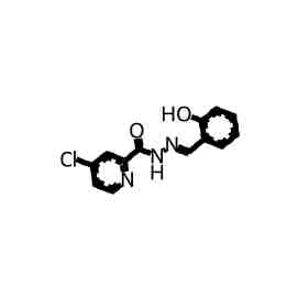 O=C(N/N=C/c1ccccc1O)c1cc(Cl)ccn1